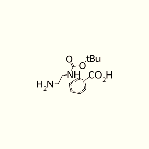 CC(C)(C)OC(=O)NCCN.O=C(O)c1ccccc1